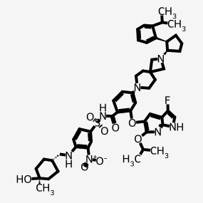 CC(C)Oc1nc2[nH]cc(F)c2cc1Oc1cc(N2CCC3(CC2)CN([C@@H]2CCC[C@@H]2c2ccccc2C(C)C)C3)ccc1C(=O)NS(=O)(=O)c1ccc(NC[C@H]2CC[C@](C)(O)CC2)c([N+](=O)[O-])c1